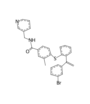 C=C(c1cccc(Br)c1)c1ccccc1Sc1ccc(C(=O)NCc2cccnc2)cc1C